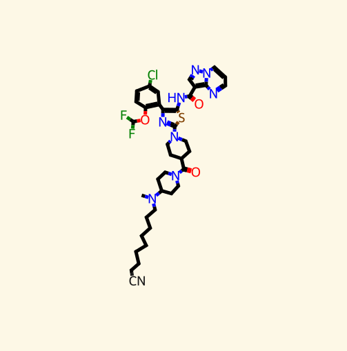 CN(CCCCCCCCC#N)C1CCN(C(=O)C2CCN(c3nc(-c4cc(Cl)ccc4OC(F)F)c(NC(=O)c4cnn5cccnc45)s3)CC2)CC1